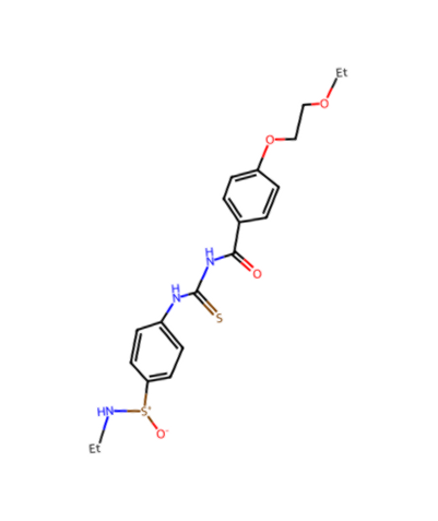 CCN[S+]([O-])c1ccc(NC(=S)NC(=O)c2ccc(OCCOCC)cc2)cc1